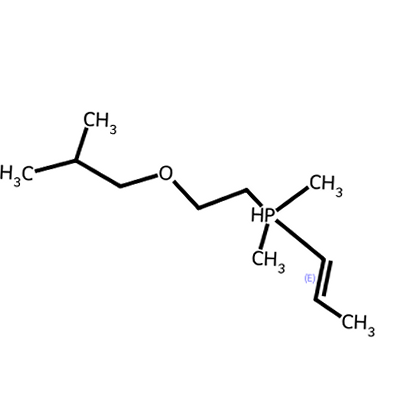 C/C=C/[PH](C)(C)CCOCC(C)C